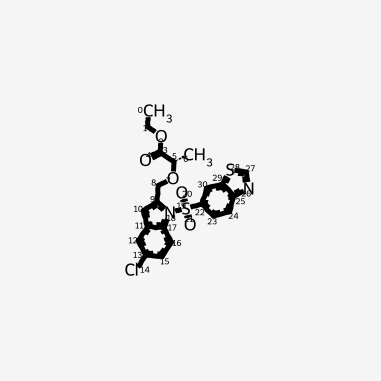 CCOC(=O)[C@H](C)OCc1cc2cc(Cl)ccc2n1S(=O)(=O)c1ccc2ncsc2c1